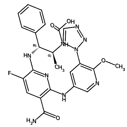 COc1ncc(Nc2nc(N[C@H](c3ccccc3)[C@H](C)NC(=O)O)c(F)cc2C(N)=O)cc1-n1ccnn1